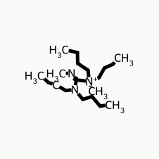 CCCCN(CCCC)C(=NC)[N+](C)(CCCC)CCCC